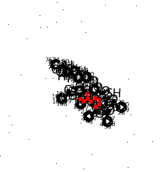 CC1O[C@@H](O[C@H]2C(OC(=O)c3ccccc3)[C@H](O[C@@H]3OC(C)[C@H](OC(=O)c4ccccc4)C(OC(=O)c4ccccc4)[C@@H]3OC(=O)c3ccccc3)C(COS)O[C@H]2O[C@H]2CC[C@@]3(C)C(=CC[C@H]4[C@@H]5C[C@@H]6O[C@]7(CC[C@@H](C)CO7)[C@@H](C)[C@@H]6[C@@]5(C)CC[C@@H]43)C2)[C@@H](OC(=O)c2ccccc2)C(C)[C@H]1OC(=O)c1ccccc1